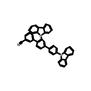 N#Cc1cccc(-c2ccc(-c3ccc(-n4c5ccccc5c5ccccc54)cc3)cc2-n2c3ccccc3c3ccccc32)c1